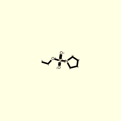 CCOS(=O)(=O)N1CCCC1